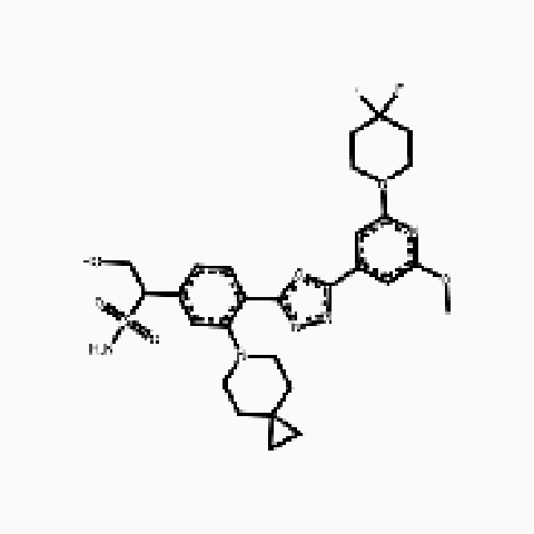 COc1cc(-c2nnc(-c3ccc(C(CO)S(N)(=O)=O)cc3N3CCC4(CC3)CC4)o2)cc(N2CCC(F)(F)CC2)n1